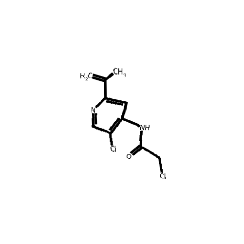 C=C(C)c1cc(NC(=O)CCl)c(Cl)cn1